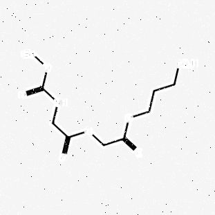 CC(C)(C)OC(=O)NCC(=O)OCC(=O)OCCCC(=O)O